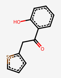 O=C(Cc1cccs1)c1ccccc1O